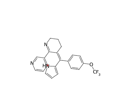 FC(F)(F)Oc1ccc(C(=C2CCCN=C2c2cccnc2)c2ccc[nH]2)cc1